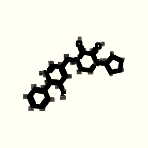 O=C1C(=O)N(C2CCCC2)CCN1Cc1cnc(-c2ccccc2)c(F)c1